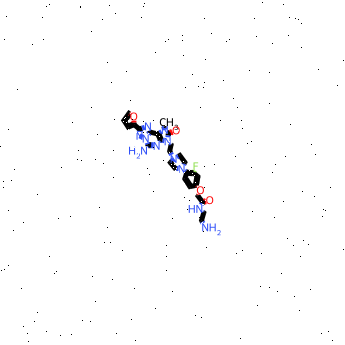 Cn1c(=O)n(CCN2CCN(c3ccc(OCC(=O)NCCN)cc3F)CC2)c2nc(N)n3nc(-c4ccco4)nc3c21